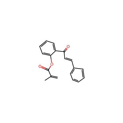 C=C(C)C(=O)Oc1ccccc1C(=O)C=Cc1ccccc1